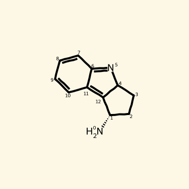 N[C@H]1CCC2N=c3ccccc3=C21